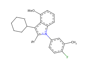 COc1cccc2c1c(C1[CH]CCCC1)c(C(C)C)n2-c1ccc(F)c(C)c1